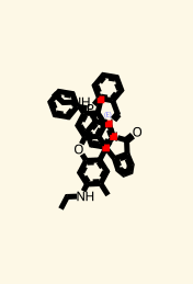 CCNc1cc2c(cc1C)C1(c3cc(C)c(NCC)cc3O2)c2ccccc2C(=O)N1/N=C/c1ccccc1P(c1ccccc1)c1ccccc1